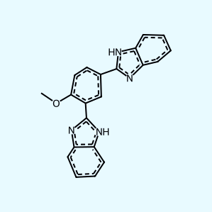 COc1ccc(-c2nc3ccccc3[nH]2)cc1-c1nc2ccccc2[nH]1